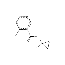 Cc1ccccc1C(=O)NC1(C)CC1